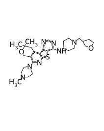 CN1CCN(c2nc3sc4c(NC5CCN(CC6CCOC6)CC5)ncnc4c3c3c2COC(C)(C)C3)CC1